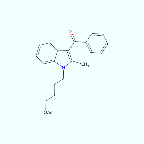 CC(=O)OCCCCn1c(C)c(C(=O)c2ccccc2)c2ccccc21